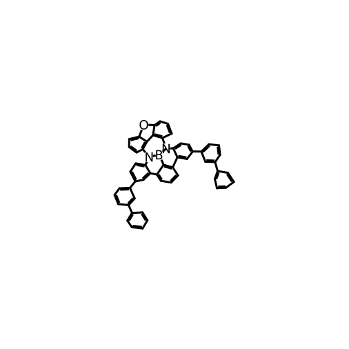 c1ccc(-c2cccc(-c3ccc4c(c3)-c3cccc5c3B3N4c4cccc6oc7cccc(c7c46)N3c3ccc(-c4cccc(-c6ccccc6)c4)cc3-5)c2)cc1